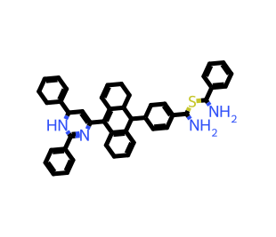 NC(SC(N)c1ccccc1)C1=CCC(C2C3=C(CCC=C3)C(C3=CC(C4=CC=CCC4)NC(c4ccccc4)=N3)=C3C=CCCC32)C=C1